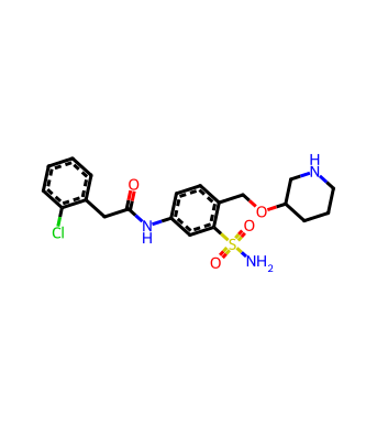 NS(=O)(=O)c1cc(NC(=O)Cc2ccccc2Cl)ccc1COC1CCCNC1